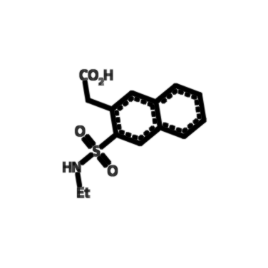 CCNS(=O)(=O)c1cc2ccccc2cc1CC(=O)O